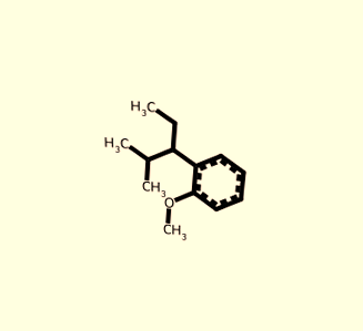 CCC(c1ccccc1OC)C(C)C